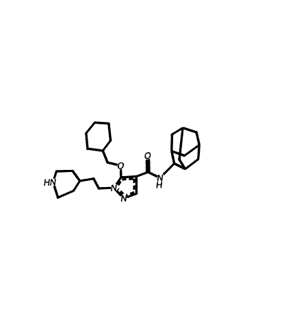 O=C(NC1C2CC3CC(C2)CC1C3)c1cnn(CCC2CCNCC2)c1OCC1CCCCC1